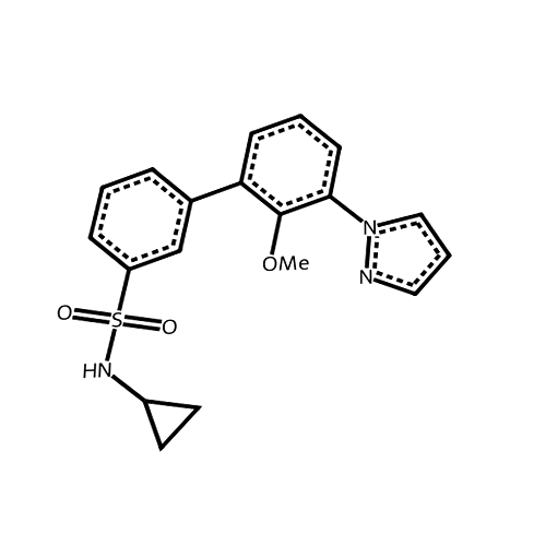 COc1c(-c2cccc(S(=O)(=O)NC3CC3)c2)cccc1-n1cccn1